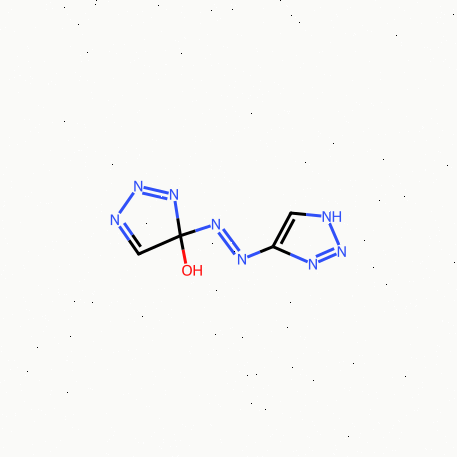 OC1(N=Nc2c[nH]nn2)C=NN=N1